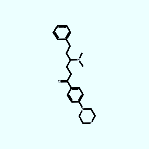 CN(C)C(CCC(=O)c1ccc(N2CCOCC2)cc1)CCc1ccccc1